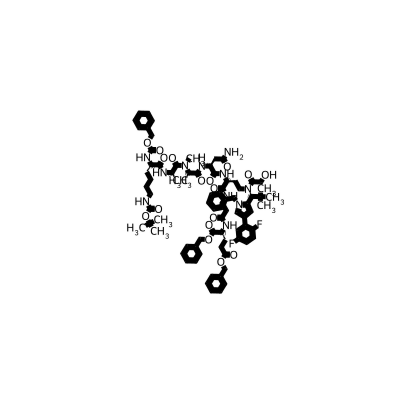 C[C@H](NC(=O)[C@H](CCCCNC(=O)OC(C)(C)C)NC(=O)OCc1ccccc1)C(=O)N(C)[C@@H](C)C(=O)N[C@@H](CC(N)=O)C(=O)N[C@@H](CCN(C(=O)CO)[C@@H](c1cc(-c2cc(F)ccc2F)cn1Cc1ccccc1)C(C)(C)C)C(=O)NCCC(=O)N[C@H](CCC(=O)OCc1ccccc1)C(=O)OCc1ccccc1